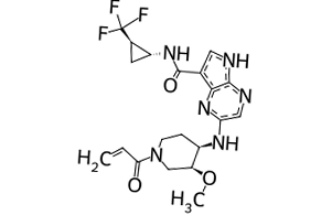 C=CC(=O)N1CC[C@@H](Nc2cnc3[nH]cc(C(=O)N[C@@H]4C[C@H]4C(F)(F)F)c3n2)[C@@H](OC)C1